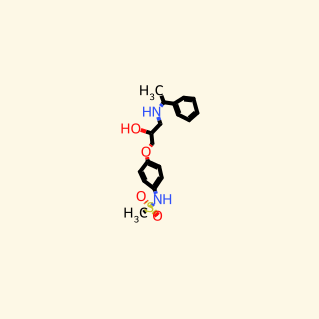 CC(NCC(O)COc1ccc(NS(C)(=O)=O)cc1)c1ccccc1